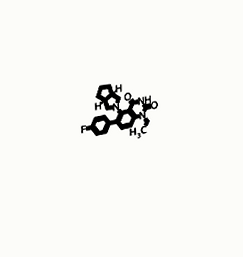 CCn1c(=O)[nH]c(=O)c2c(N3C[C@H]4CCC[C@H]4C3)c(-c3ccc(F)cc3)ccc21